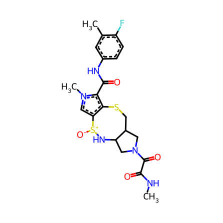 CNC(=O)C(=O)N1CC2CSc3c(cn(C)c3C(=O)Nc3ccc(F)c(C)c3)[S+]([O-])NC2C1